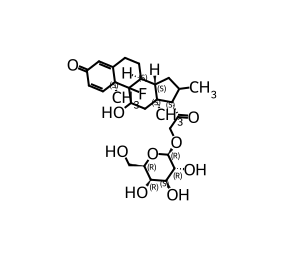 CC1C[C@H]2[C@@H]3CCC4=CC(=O)C=C[C@]4(C)C3(F)C(O)C[C@]2(C)[C@H]1C(=O)CO[C@@H]1O[C@H](CO)[C@H](O)[C@H](O)[C@H]1O